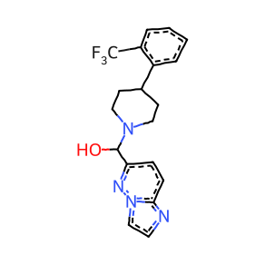 OC(c1ccc2nccn2n1)N1CCC(c2ccccc2C(F)(F)F)CC1